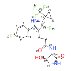 O=C(CCc1c(-c2ccc(F)cc2)[nH]c(C2(C(F)(F)F)CC2)c1F)N[C@@H]1C(=O)NC[C@H]1O